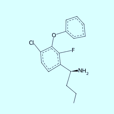 CCC[C@H](N)c1ccc(Cl)c(Oc2ccccc2)c1F